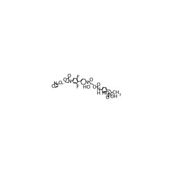 CC(Cc1ccc(NC(=O)OC[C@H](O)C(=O)N2CC=C(c3c(F)cc(N4C[C@H](COc5ccon5)OC4=O)cc3F)CC2)cc1)P(=O)(O)O